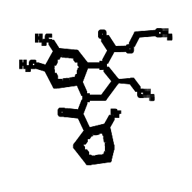 CCOC(=O)N1c2cc(C)c(C)cc2N(C(=O)c2ccccc2Br)C[C@@H]1CC